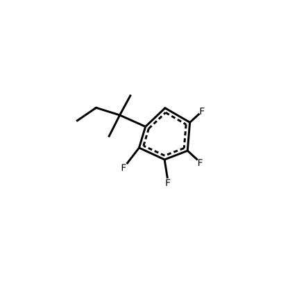 CCC(C)(C)c1cc(F)c(F)c(F)c1F